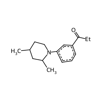 CCC(=O)c1cccc(N2CCC(C)CC2C)c1